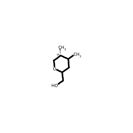 CC1CC(CO)OC[C@@H]1C